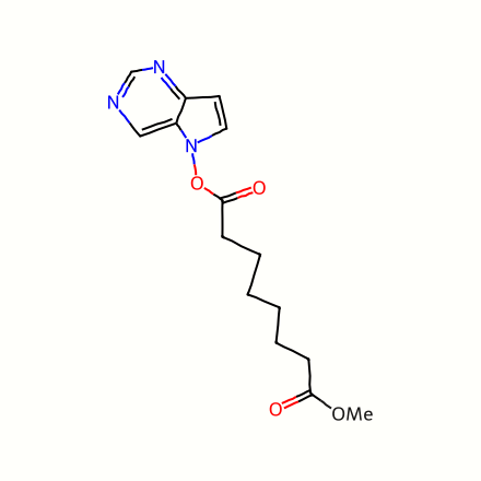 COC(=O)CCCCCCC(=O)On1ccc2ncncc21